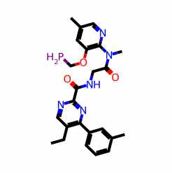 CCc1cnc(C(=O)NCC(=O)N(C)c2ncc(C)cc2OCP)nc1-c1cccc(C)c1